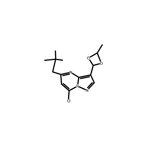 CC1OC(c2cnn3c(Cl)cc(CC(C)(C)C)nc23)O1